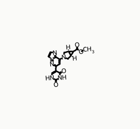 COC(=O)C1[C@H]2CN(c3cc(-c4c[nH]c(=O)[nH]c4=O)nn4ccnc34)C[C@@H]12